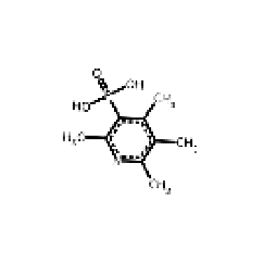 Cc1nc(C)c(P(=O)(O)O)c(C)c1C